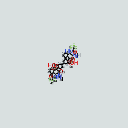 [H]/N=N/C1=C(NC(=O)C(F)(F)F)c2ccccc2C(c2ccc(-c3ccc(C4(S(=O)(=O)O)CC(/N=N/[H])=C(NC(=O)C(F)(F)F)c5ccccc54)c(OC)c3)cc2OC)(S(=O)(=O)O)C1